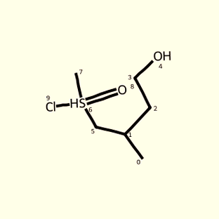 CC(CCO)C[SH](C)(=O)Cl